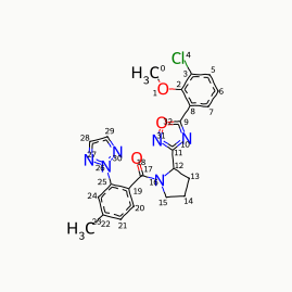 COc1c(Cl)cccc1-c1nc(C2CCCN2C(=O)c2ccc(C)cc2-n2nccn2)no1